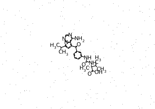 CC(C)c1cc(C(=O)c2cccc(NC(=O)N[C@](C)(C(=O)O)C(C)C)c2)c2c(N)ncnn12